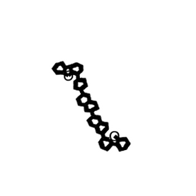 c1ccc2c(c1)oc1c(-c3ccc(-c4ccc5cc(-c6ccc7cc(-c8cccc9c8oc8ccccc89)ccc7c6)ccc5c4)cc3)cccc12